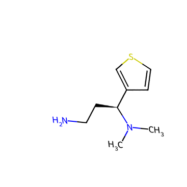 CN(C)[C@@H](CCN)c1ccsc1